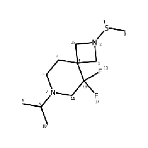 CSN1CC2(CCN(C(C)C)CC2(F)F)C1